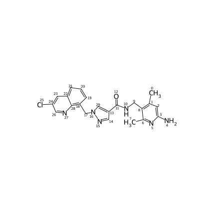 Cc1cc(N)nc(C)c1CNC(=O)c1cnn(Cc2cccc3cc(Cl)cnc23)c1